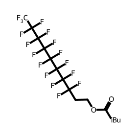 CCC(C)C(=O)OCCC(F)(F)C(F)(F)C(F)(F)C(F)(F)C(F)(F)C(F)(F)C(F)(F)C(F)(F)F